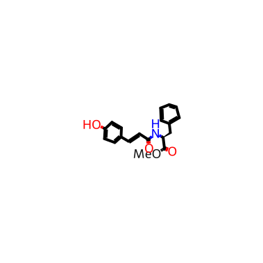 COC(=O)[C@H](Cc1ccccc1)NC(=O)C=Cc1ccc(O)cc1